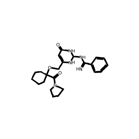 N=C(NC1NC(=O)C=C(COC2(C(=O)N3CCCC3)CCCCC2)N1)c1ccccc1